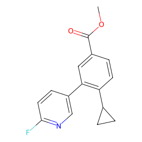 COC(=O)c1ccc(C2CC2)c(-c2ccc(F)nc2)c1